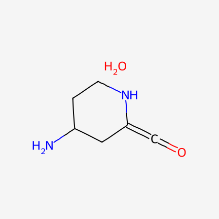 NC1CCNC(=C=O)C1.O